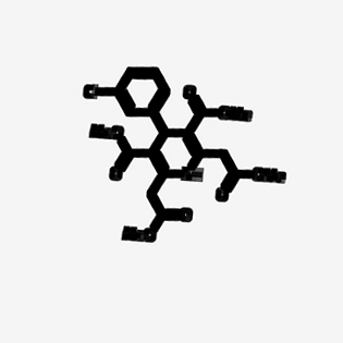 COC(=O)CC1=C(C(=O)OC)C(c2cccc(Cl)c2)C(C(=O)OC)=C(CC(=O)OC)N1